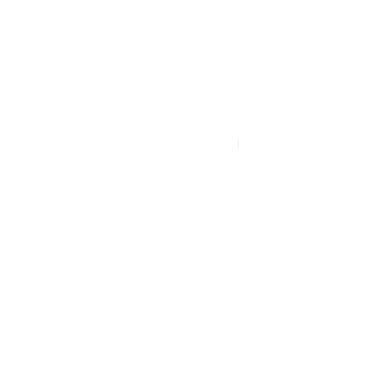 Oc1cccc(Cl)c1C(Cl)Cl